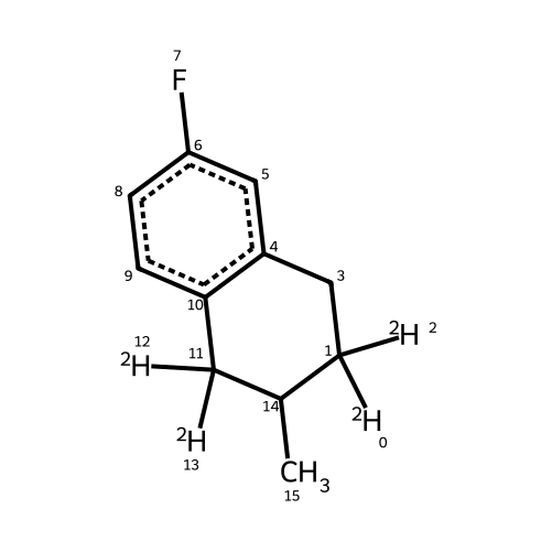 [2H]C1([2H])Cc2cc(F)ccc2C([2H])([2H])C1C